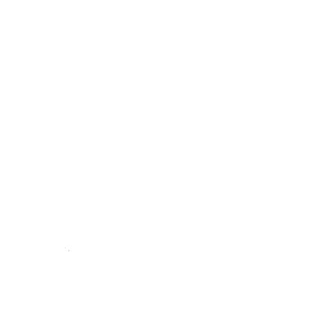 CCC(N)c1ccc(-c2ccc(-c3ccc4c(F)c(F)c(F)cc4c3)c(F)c2)cc1